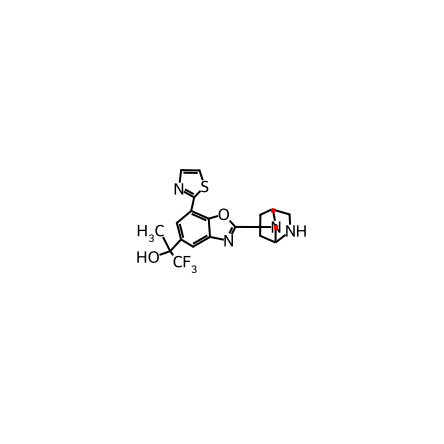 CC(O)(c1cc(-c2nccs2)c2oc(N3CC4CCC(C3)NC4)nc2c1)C(F)(F)F